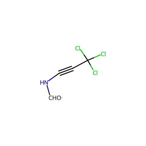 O=[C]NC#CC(Cl)(Cl)Cl